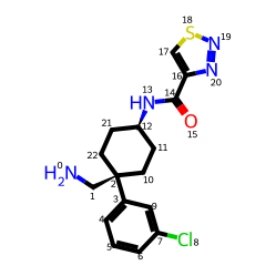 NC[C@]1(c2cccc(Cl)c2)CC[C@H](NC(=O)c2csnn2)CC1